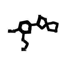 COc1ccc(C2=NOC3(CCOC3)C2)cc1OCC#N